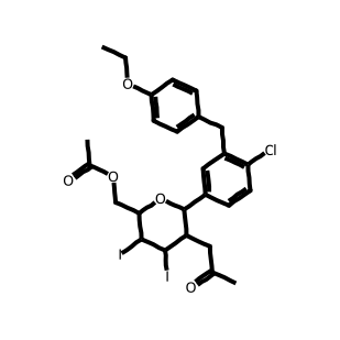 CCOc1ccc(Cc2cc(C3OC(COC(C)=O)C(I)C(I)C3CC(C)=O)ccc2Cl)cc1